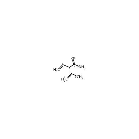 C=CC.C=CCC(N)=O